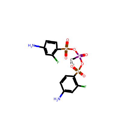 CP(=O)(OS(=O)(=O)c1ccc(N)cc1F)OS(=O)(=O)c1ccc(N)cc1F